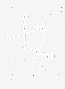 CCC(O)(CC(C)(C)O)C(=O)O